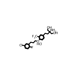 Cl.NC(CO)(CO)CCc1ccc(OCCCc2cc(Cl)ccc2F)c(C(F)(F)F)c1